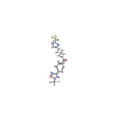 CC(C)(C)c1nc(-c2ccc(C(=O)N3CC4(CC(n5cnc(C(F)(F)F)n5)C4)C3)cc2)no1